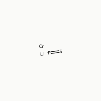 [Cr].[Li].[P]=S